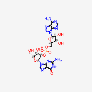 Nc1nc2c(ncn2[C@@H]2O[C@H](CO)[C@@H](O)[C@H]2OP(=O)(O)OC[C@H]2O[C@@H](n3nnc4c(N)ncnc43)[C@H](O)[C@@H]2O)c(=O)[nH]1